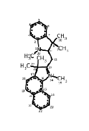 CN1c2ccccc2C(C)(C)C1CC1=[N+](C)c2c(ccc3ccccc23)C1(C)C